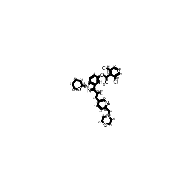 CC(Oc1ccc2c(c1)c(C(F)=Cc1ccc(CN3CCOCC3)nc1)nn2C1CCCCO1)c1c(Cl)cncc1Cl